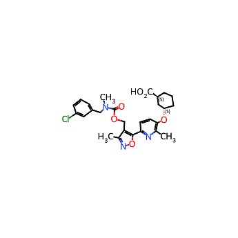 Cc1nc(-c2onc(C)c2COC(=O)N(C)Cc2cccc(Cl)c2)ccc1O[C@H]1CCC[C@H](C(=O)O)C1